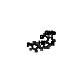 COC(=O)c1ccnc2c1NC(Cc1ccc(F)cc1)C2